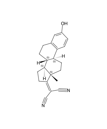 C[C@]12CC[C@@H]3c4ccc(O)cc4CC[C@H]3[C@@H]1CCC2=C(C#N)C#N